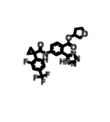 O=C(OC1CCOC1)c1ccc(NC(=O)C2(c3ccc(C(F)(F)F)cc3F)CC2)cc1-c1nnn[nH]1